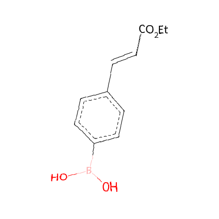 CCOC(=O)C=Cc1ccc(B(O)O)cc1